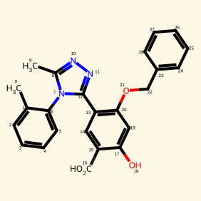 Cc1ccccc1-n1c(C)nnc1-c1cc(C(=O)O)c(O)cc1OCc1ccccc1